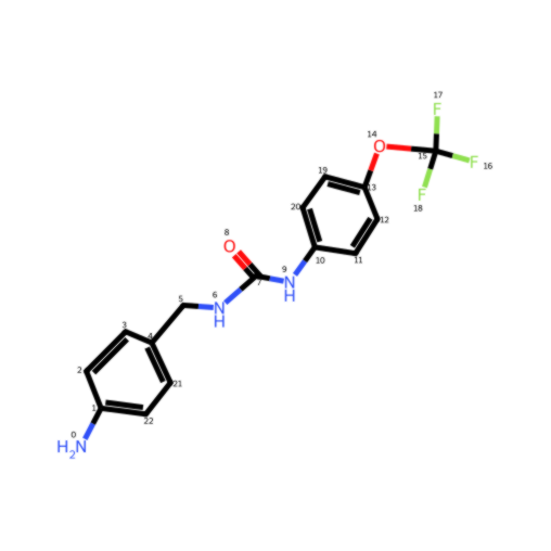 Nc1ccc(CNC(=O)Nc2ccc(OC(F)(F)F)cc2)cc1